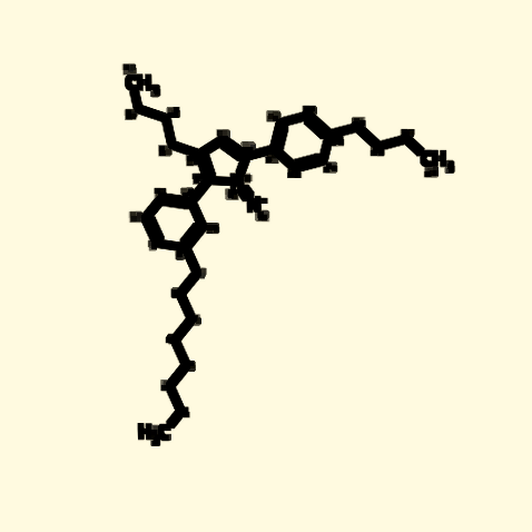 CCCCCCCCc1cccc(C2=C(CCCC)C=C(c3ccc(CCCC)cc3)[N+]2=[N-])c1